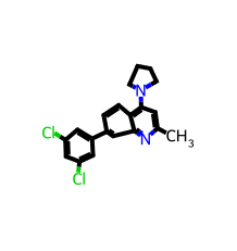 Cc1cc(N2CCCC2)c2ccc(-c3cc(Cl)cc(Cl)c3)cc2n1